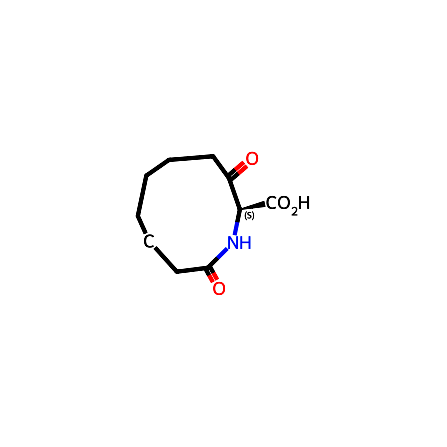 O=C1CCCCCCC(=O)[C@@H](C(=O)O)N1